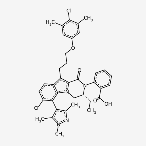 CC[C@@H]1Cn2c(c(CCCOc3cc(C)c(Cl)c(C)c3)c3ccc(Cl)c(-c4c(C)nn(C)c4C)c32)C(=O)N1c1ccccc1C(=O)O